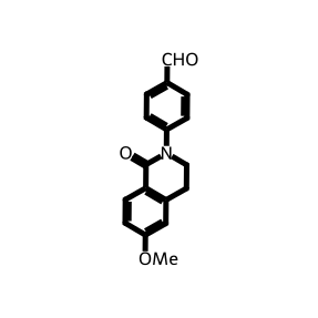 COc1ccc2c(c1)CCN(c1ccc(C=O)cc1)C2=O